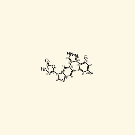 O=c1[nH]nc(-c2cnc3ccc(-c4c[nH]nc4-c4ccc(F)cc4F)cn23)o1